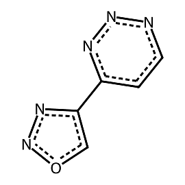 c1cc(-c2conn2)nnn1